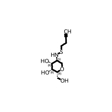 C#CCCSN[C@H]1CO[C@H](CO)[C@H](O)[C@@H]1O